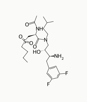 CCCCS(=O)(=O)C[C@@H](NC(C)=O)C(=O)N(CCC(C)C)C[C@@H](O)[C@@H](N)Cc1cc(F)cc(F)c1